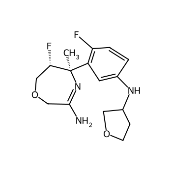 C[C@]1(c2cc(NC3CCOC3)ccc2F)N=C(N)COC[C@@H]1F